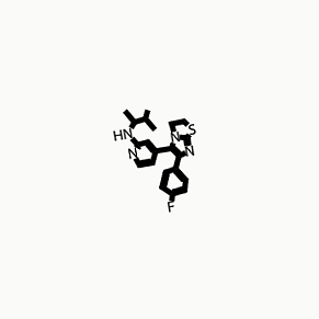 CC(C)C(C)Nc1cc(-c2c(-c3ccc(F)cc3)nc3n2CCS3)ccn1